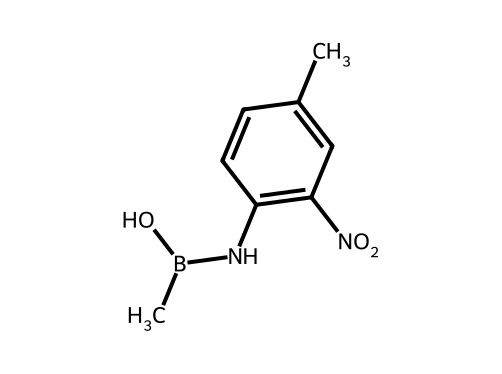 CB(O)Nc1ccc(C)cc1[N+](=O)[O-]